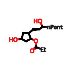 CCCCCC(O)C=CC1CC(O)CC1OC(=O)CC